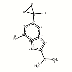 CC(C)c1cn2cc(C3(F)CC3)cc(Br)c2n1